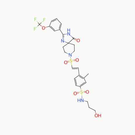 Cc1cc(S(=O)(=O)NCCCO)ccc1/C=C/S(=O)(=O)N1CCC2(CC1)N=C(c1cccc(OC(F)(F)F)c1)NC2=O